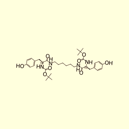 CC(C)(C)OC(=O)N[C@@H](Cc1ccc(O)cc1)C(=O)NCCCCCCNC(=O)[C@H](Cc1ccc(O)cc1)NC(=O)OC(C)(C)C